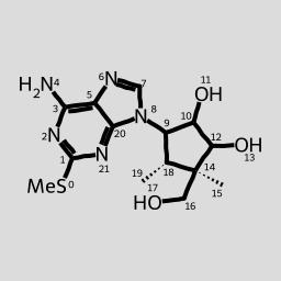 CSc1nc(N)c2ncn(C3C(O)C(O)[C@@](C)(CO)[C@@H]3C)c2n1